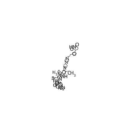 CCc1cc(Nc2ncc(Br)c(Nc3ccc4nccnc4c3P(C)(C)=O)n2)c(OC)cc1N1CCC(N2CCN(CCCc3cccc(C4CCC(=O)NC4=O)c3)CC2)CC1